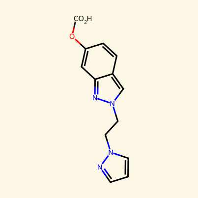 O=C(O)Oc1ccc2cn(CCn3cccn3)nc2c1